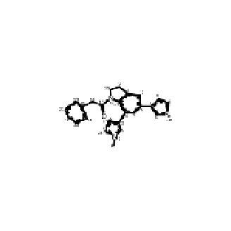 Cn1cc(-c2cc(-c3ccsc3)cc3c2N(C(=O)Cc2ccccc2)CC3)cn1